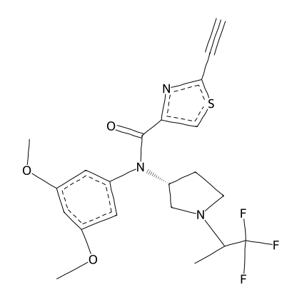 C#Cc1nc(C(=O)N(c2cc(OC)cc(OC)c2)[C@@H]2CCN(C(C)C(F)(F)F)C2)cs1